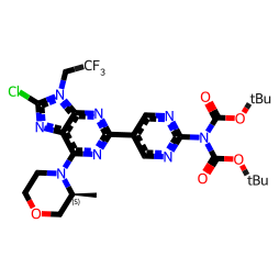 C[C@H]1COCCN1c1nc(-c2cnc(N(C(=O)OC(C)(C)C)C(=O)OC(C)(C)C)nc2)nc2c1nc(Cl)n2CC(F)(F)F